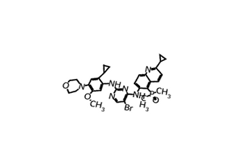 COc1cc(Nc2ncc(Br)c(Nc3ccc4nc(C5CC5)ccc4c3P(C)(C)=O)n2)c(C2CC2)cc1N1CCOCC1